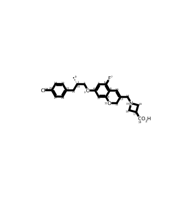 C[C@H](COc1cc(F)c2c(c1)OCC(CN1CC(C(=O)O)C1)=C2)Cc1ccc(Cl)cc1